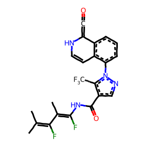 CC(C)=C(F)/C(C)=C(\F)NC(=O)c1cnn(-c2cccc3c2C=CNC3=C=O)c1C(F)(F)F